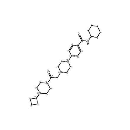 O=C(NC1CCCCC1)c1ccc(N2CCN(CC(=O)N3CCN(C4CCC4)CC3)CC2)cc1